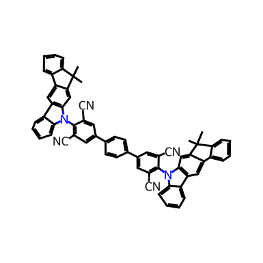 CC1(C)c2ccccc2-c2cc3c4ccccc4n(-c4c(C#N)cc(-c5ccc(-c6cc(C#N)c(-n7c8ccccc8c8cc9c(cc87)C(C)(C)c7ccccc7-9)c(C#N)c6)cc5)cc4C#N)c3cc21